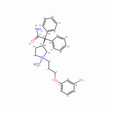 C[N+]1(CCCOc2cccc(F)c2)CC[C@@H](C(C(N)=O)(c2ccccc2)c2ccccc2)C1